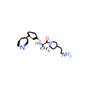 CC(NSc1cccc(-c2cccnc2)c1)C(=O)N1CCC(CCN)CC1